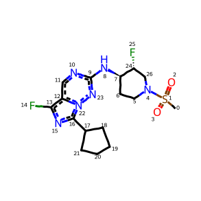 CS(=O)(=O)N1CC[C@@H](Nc2ncc3c(F)nc(C4CCCC4)n3n2)[C@H](F)C1